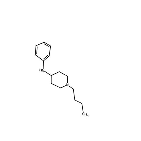 CCCCN1CCC(Nc2ccccc2)CC1